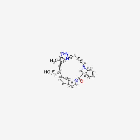 Cc1c2ccc3c1nnn3CCCCCn1cc(c3ccccc31)C(=O)N1CCc3ccc(cc3C1)C2CC(=O)O